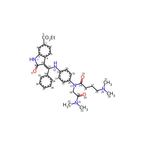 CCOC(=O)c1ccc2c(c1)NC(=O)C2=C(Nc1ccc(N(CC(=O)N(C)C)C(=O)CCCN(C)C)cc1)c1ccccc1